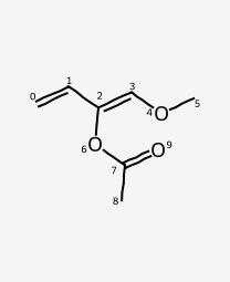 C=CC(=COC)OC(C)=O